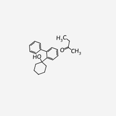 CCC(C)=O.OC1(c2ccccc2-c2ccccc2)CCCCC1